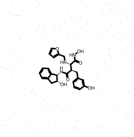 O=C(NO)[C@@H](NCc1ccco1)[C@@H](Cc1cccc(O)c1)C(=O)N[C@H]1c2ccccc2C[C@H]1O